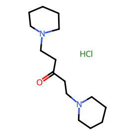 Cl.O=C(CCN1CCCCC1)CCN1CCCCC1